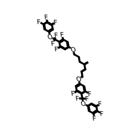 CC(CCCOc1cc(F)c(C(F)(F)Oc2cc(F)c(F)c(F)c2)c(F)c1)CCCOc1cc(F)c(C(F)(F)Oc2cc(F)c(F)c(F)c2)c(F)c1